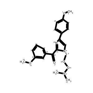 COc1ccc(-c2cn(SOON(C)C)c(C(=O)c3cccc(OC)c3)n2)cc1